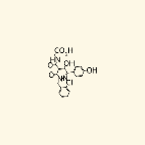 O=C(O)CNC(=O)c1c(O)c(-c2ccc(O)cc2)nn(Cc2ccccc2Cl)c1=O